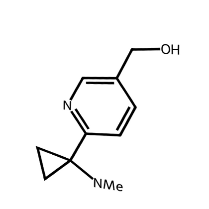 CNC1(c2ccc(CO)cn2)CC1